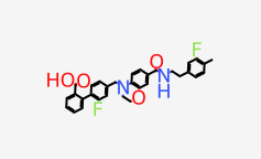 Cc1ccc(CCNC(=O)c2ccc3c(c2)OCCN3Cc2ccc(-c3ccccc3C(=O)O)c(F)c2)cc1F